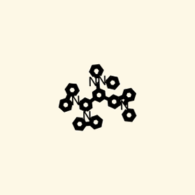 c1ccc(-n2c(-c3cc(-c4cc(-n5c6ccccc6c6ccccc65)cc(-n5c6ccccc6c6ccccc65)c4)cc(-c4ccc5c(c4)c4ccccc4n5-c4ccccc4)c3)nc3ccccc32)cc1